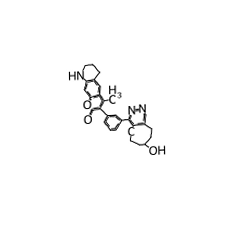 Cc1c(-c2cccc(-c3nncc4c3CCCC(O)CC4)c2)c(=O)oc2cc3c(cc12)CCCN3